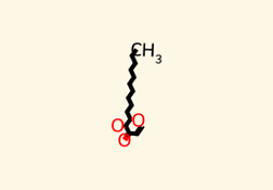 CCCCCCCCCCC1OC=CC(=O)C1=O